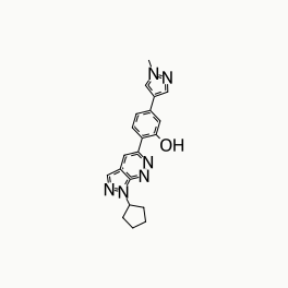 Cn1cc(-c2ccc(-c3cc4cnn(C5CCCC5)c4nn3)c(O)c2)cn1